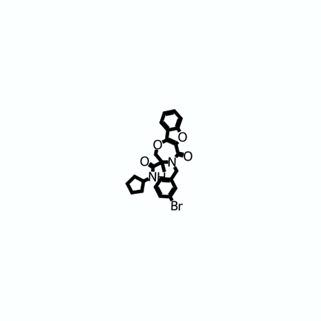 CC1(C(=O)NC2CCCC2)COc2c(oc3ccccc23)C(=O)N1Cc1cccc(Br)c1